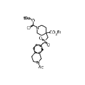 CCOC(=O)C1(CS(=O)(=O)c2ccc3c(c2)CN(C(C)=O)CC3)CCN(C(=O)OC(C)(C)C)CC1